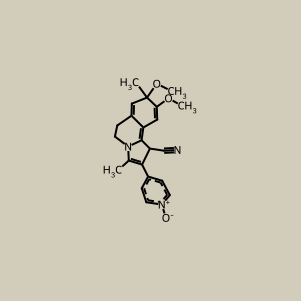 COC1=CC2=C3C(C#N)C(c4cc[n+]([O-])cc4)=C(C)N3CCC2=CC1(C)OC